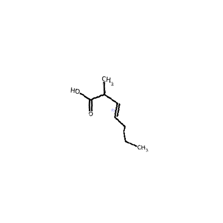 CCC/C=C/C(C)C(=O)O